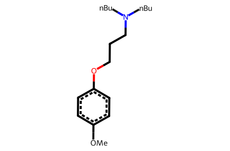 CCCCN(CCCC)CCCOc1ccc(OC)cc1